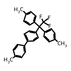 Cc1ccc(-c2ccc(C(c3ccc(C)cc3)(c3ccc(C)cc3)C(F)(F)F)cc2)cc1